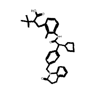 Cc1c(CC(C(=O)O)C(C)(C)C)cccc1NC(=O)C(c1ccc(CN2C(=O)CCc3ccccc32)cc1)C1CCCC1